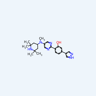 CN(c1cnc(-c2ccc(-c3cn[nH]c3)cc2O)nc1)C1CC(C)(C)NC(C)(C)C1